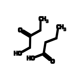 CCC(=O)CO.CCCC(=O)O